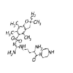 Cc1c(C)c(S(=O)(=O)N=C(N)NCCCC(N)C(=O)N2CCNCC2)c(C)c2c1OC(C)(C)C2